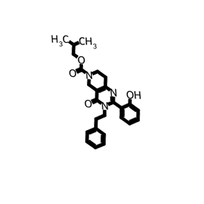 CC(C)COC(=O)N1CCc2nc(-c3ccccc3O)n(CCc3ccccc3)c(=O)c2C1